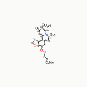 COCCCOc1cc2c(c3c1OCC3)-c1cc(=O)c(C(=O)O)cn1C(C(C)C)C2